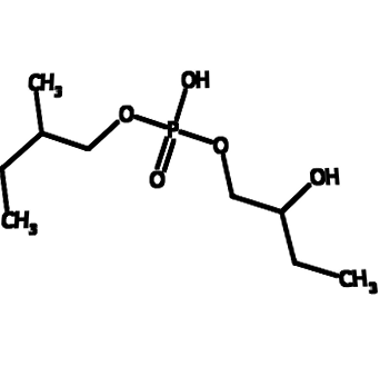 CCC(C)COP(=O)(O)OCC(O)CC